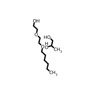 CC(O)CO.CCCCCCOCCOCCO